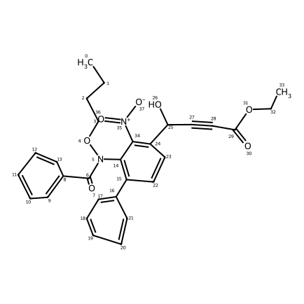 CCCCON(C(=O)c1ccccc1)c1c(-c2ccccc2)ccc(C(O)C#CC(=O)OCC)c1[N+](=O)[O-]